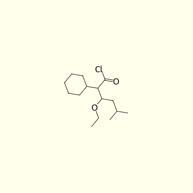 CCOC(CC(C)C)C(C(=O)Cl)C1CCCCC1